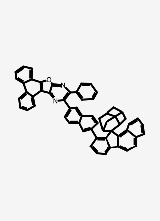 c1ccc(-c2nc3oc4c5ccccc5c5ccccc5c4c3nc2-c2ccc3cc(-c4cccc5c4C4(c6c-5ccc5ccccc65)C5CC6CC(C5)CC4C6)ccc3c2)cc1